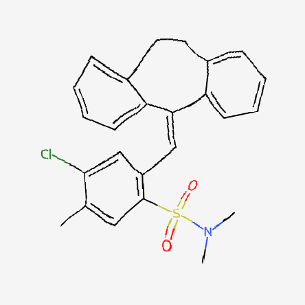 Cc1cc(S(=O)(=O)N(C)C)c(C=C2c3ccccc3CCc3ccccc32)cc1Cl